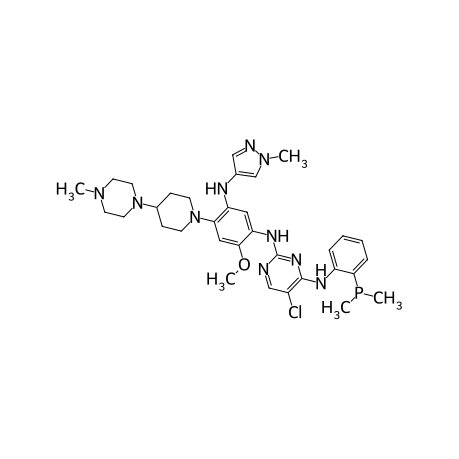 COc1cc(N2CCC(N3CCN(C)CC3)CC2)c(Nc2cnn(C)c2)cc1Nc1ncc(Cl)c(Nc2ccccc2P(C)C)n1